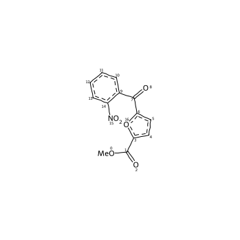 COC(=O)c1ccc(C(=O)c2ccccc2[N+](=O)[O-])o1